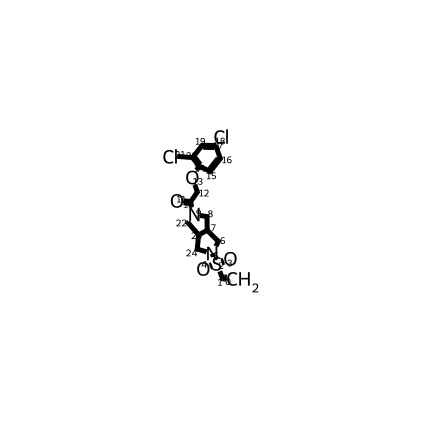 C=CS(=O)(=O)N1CC2CN(C(=O)COc3ccc(Cl)cc3Cl)CC2C1